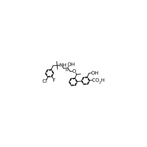 CC(OC[C@H](O)CNC(C)(C)Cc1ccc(Cl)c(F)c1)c1ccccc1-c1ccc(C(=O)O)c(CO)c1